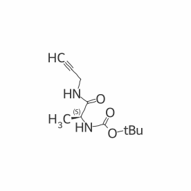 C#CCNC(=O)[C@H](C)NC(=O)OC(C)(C)C